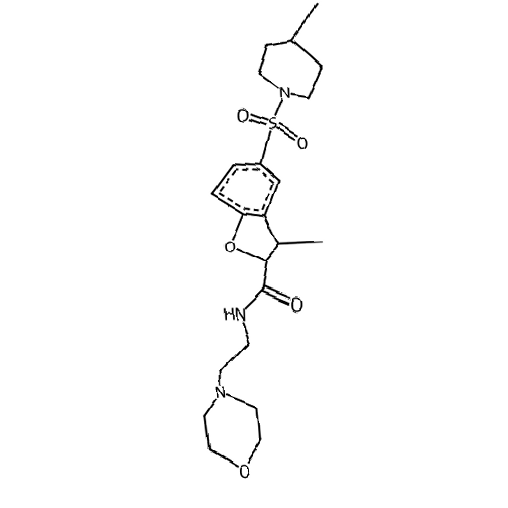 CC1CCN(S(=O)(=O)c2ccc3c(c2)C(C)C(C(=O)NCCN2CCOCC2)O3)CC1